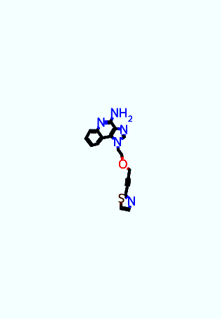 Nc1nc2ccccc2c2c1ncn2CCOCC#Cc1nccs1